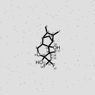 CC1C(C)C2CC1C1COC(O)(C(F)(F)F)C(F)(F)C21O